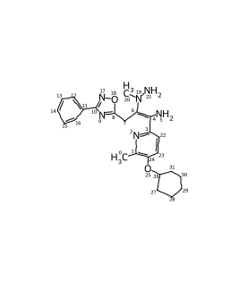 Cc1nc(/C(N)=C(\Cc2nc(-c3ccccc3)no2)N(C)N)ccc1OC1CCCCC1